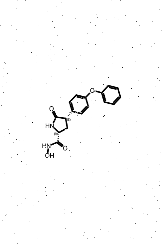 O=C1N[C@@H](C(=O)NO)C[C@H]1c1ccc(Oc2ccccc2)cc1